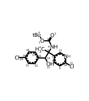 CC(C)(C)OC(=O)NC(C)(c1ccc(Cl)nc1)C(O)c1ccc(Cl)cc1